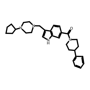 O=C(c1ccc2c(CN3CCN(C4CCCC4)CC3)c[nH]c2c1)N1CCC(c2ccccc2)CC1